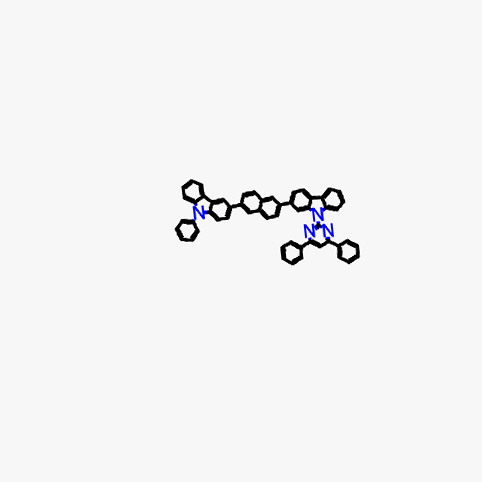 c1ccc(-c2cc(-c3ccccc3)nc(-n3c4ccccc4c4ccc(-c5ccc6cc(-c7ccc8c(c7)c7ccccc7n8-c7ccccc7)ccc6c5)cc43)n2)cc1